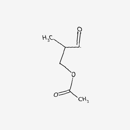 CC(=O)OCC(C)[C]=O